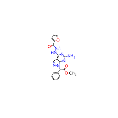 COC(=O)C(c1ccccc1)n1ncc2c(NNC(=O)c3ccco3)nc(N)nc21